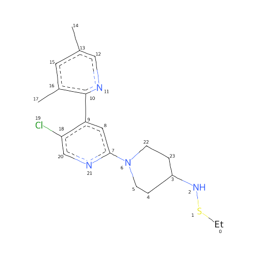 CCSNC1CCN(c2cc(-c3ncc(C)cc3C)c(Cl)cn2)CC1